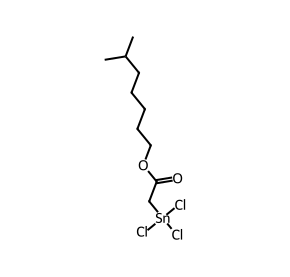 CC(C)CCCCCOC(=O)[CH2][Sn]([Cl])([Cl])[Cl]